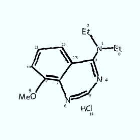 CCN(CC)c1ncnc2c(OC)cccc12.Cl